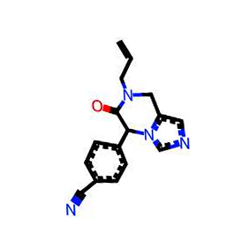 C=CCN1Cc2cncn2C(c2ccc(C#N)cc2)C1=O